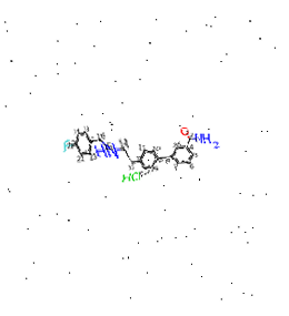 Cl.NC(=O)c1cccc(-c2ccc(CCNCc3ccc(F)cc3)cc2)c1